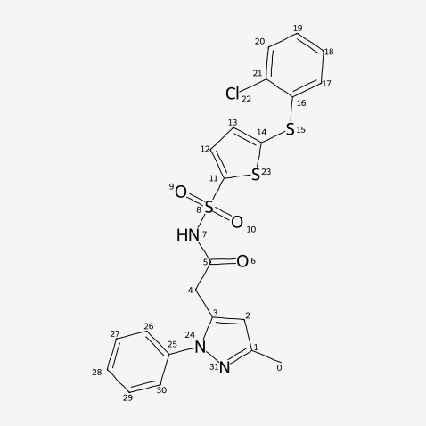 Cc1cc(CC(=O)NS(=O)(=O)c2ccc(Sc3ccccc3Cl)s2)n(-c2ccccc2)n1